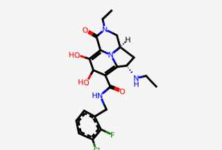 CCN[C@H]1C[C@@H]2CN(CC)C(=O)C3=C(O)C(O)C(C(=O)NCc4cccc(Cl)c4F)=C1N32